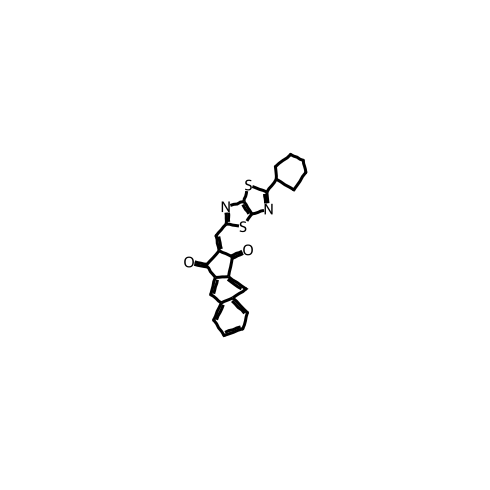 O=C1C(=Cc2nc3sc(C4CCCCC4)nc3s2)C(=O)c2cc3ccccc3cc21